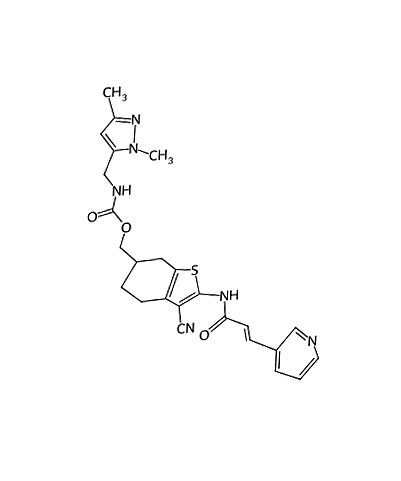 Cc1cc(CNC(=O)OCC2CCc3c(sc(NC(=O)C=Cc4cccnc4)c3C#N)C2)n(C)n1